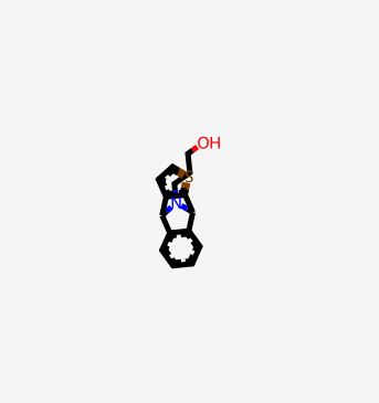 OCCCN1C2c3ccccc3C1c1sccc12